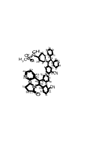 CN(C1CCN(C(c2cccc(C#N)c2)C(c2cccnc2)c2cccnc2)CC1)S(C)(=O)=O.N#Cc1cccc(C(C(c2cccnc2)c2cccnc2)N2CCCC2=O)c1